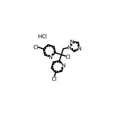 Cl.Clc1ccc(C(Cl)(Cn2cncn2)c2ccc(Cl)cn2)nc1